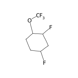 FC1CCC(OC(F)(F)F)C(F)C1